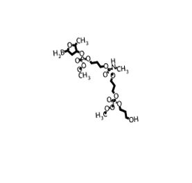 BC1CC(OP(=O)(OCCCOP(=O)(NC)OCCCOP(=O)(OCCCO)OOC)OOC)C(C)O1